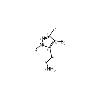 Cc1nn(C)c(CCN)c1Br